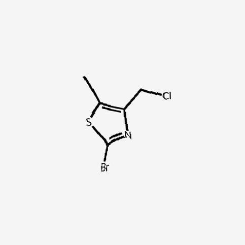 Cc1sc(Br)nc1CCl